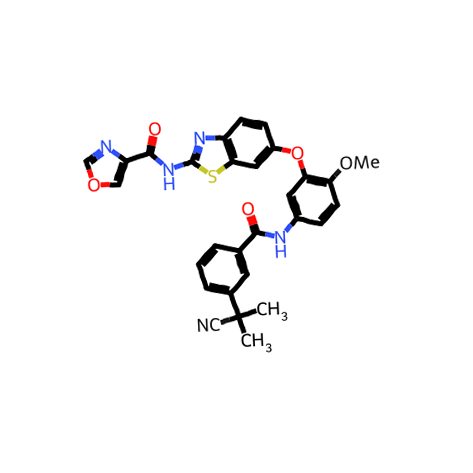 COc1ccc(NC(=O)c2cccc(C(C)(C)C#N)c2)cc1Oc1ccc2nc(NC(=O)c3cocn3)sc2c1